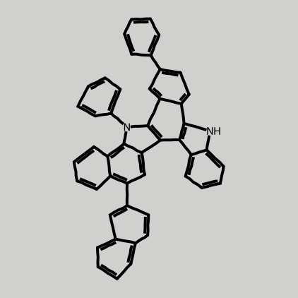 c1ccc(-c2ccc3c(c2)c2c(c4cc(-c5ccc6ccccc6c5)c5ccccc5c4n2-c2ccccc2)c2c4ccccc4[nH]c32)cc1